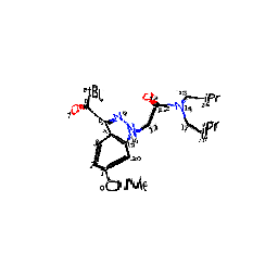 COc1ccc2c(C(=O)C(C)(C)C)nn(CC(=O)N(CC(C)C)CC(C)C)c2c1